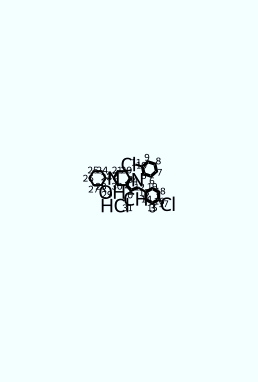 Cc1c2c(n(-c3ccccc3Cl)c1-c1ccc(Cl)cc1)CCN([C@H]1CCCC[C@@H]1O)C2.Cl